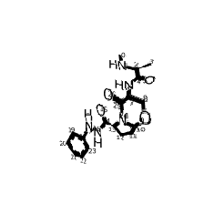 CN[C@@H](C)C(=O)NC1COC2CC[C@@H](C(=O)NNc3ccccc3)N2C1=O